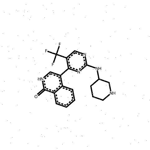 O=c1[nH]cc(-c2nc(NC3CCCNC3)ncc2C(F)(F)F)c2ccccc12